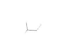 [CH2]CC(F)CI